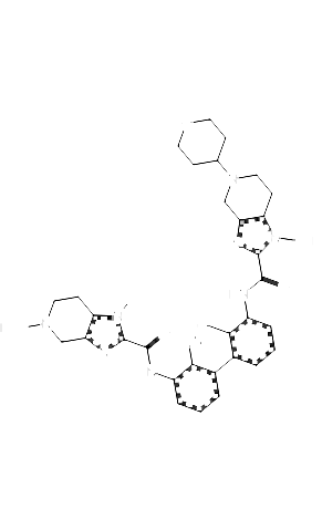 CN1CCc2c(nc(C(=O)Nc3cccc(-c4cccc(NC(=O)c5nc6c(n5C)CCN(C5CCOCC5)C6)c4Cl)c3C#N)n2C)C1